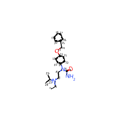 CCN(CCN(C(N)=O)c1ccc(OCc2ccccc2)cc1)C(C)C